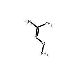 C/C(N)=N\ON